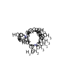 C=CC[C@@H]1/C=C(\C)C[C@H](C)C[C@H](OC)[C@H]2O[C@@](O)(C(=O)C(=O)N3CCCC[C@H]3C(=O)OC(/C(C)=C/[C@@H]3CC[C@@H](O)[C@H](OC)C3)[C@H](C)[C@@H](O)CC1=O)[C@H](C)C[C@@H]2OC.O